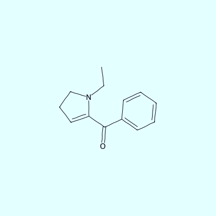 CCN1CCC=C1C(=O)c1ccccc1